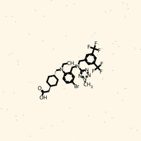 CCN(C[C@H]1CC[C@H](CC(=O)O)CC1)c1ccc(Br)cc1CN(Cc1cc(C(F)(F)F)cc(C(F)(F)F)c1)c1nnn(C)n1